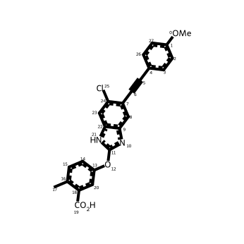 COc1ccc(C#Cc2cc3nc(Oc4ccc(C)c(C(=O)O)c4)[nH]c3cc2Cl)cc1